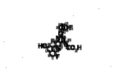 C#Cc1c(F)ccc2cc(O)cc(-c3ncc4c(N(C)CC(=O)O)nc(OC[C@@]56CCCN5C[C@H](F)C6)nc4c3F)c12